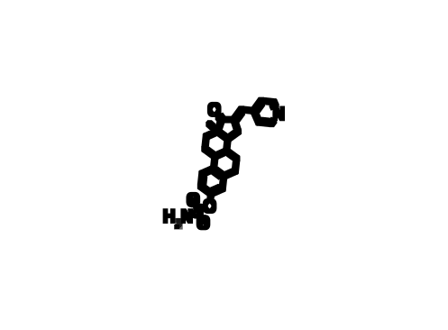 CC12CCC3c4ccc(OS(N)(=O)=O)cc4CCC3C1CC(=Cc1ccncc1)C2=O